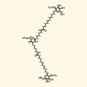 CCCCCCCNC(=O)[C@H](CCCCCNC(=O)COCCOCCOCCOC1OC(CO)C(O)C(O)C1NC(C)=O)NC(=O)CCCCCNC(=O)COCCOCCOCCOC1OC(CO)C(O)C(O)C1NC(C)=O